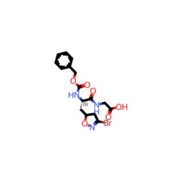 O=C(O)CNC(=O)[C@H](CC1CC(Br)=NO1)NC(=O)OCc1ccccc1